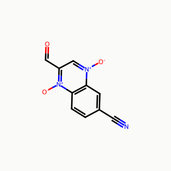 N#Cc1ccc2c(c1)[n+]([O-])cc(C=O)[n+]2[O-]